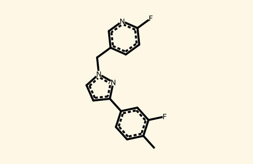 Cc1ccc(-c2ccn(Cc3ccc(F)nc3)n2)cc1F